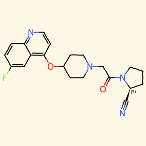 N#C[C@@H]1CCCN1C(=O)CN1CCC(Oc2ccnc3ccc(F)cc23)CC1